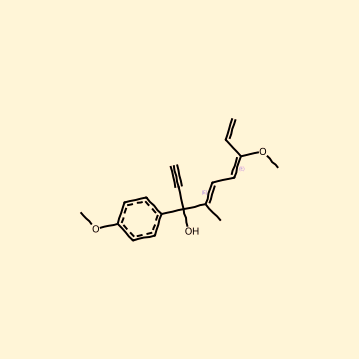 C#CC(O)(/C(C)=C/C=C(\C=C)OC)c1ccc(OC)cc1